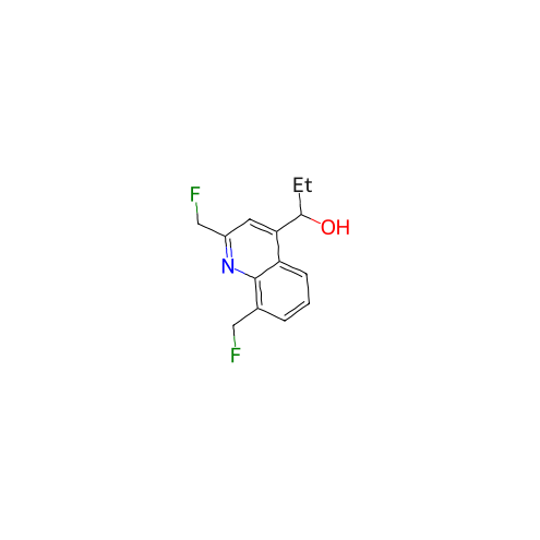 CCC(O)c1cc(CF)nc2c(CF)cccc12